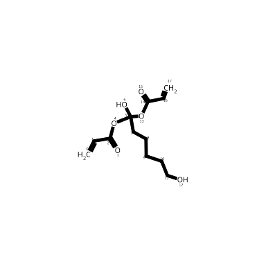 C=CC(=O)OC(O)(CCCCCO)OC(=O)C=C